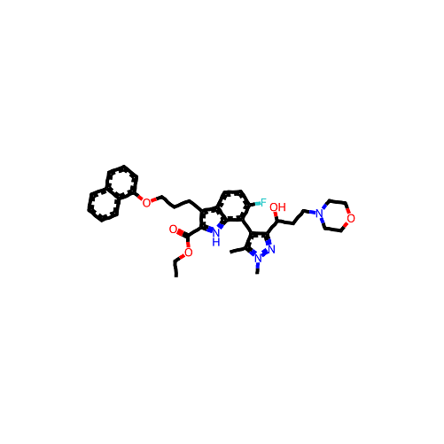 CCOC(=O)c1[nH]c2c(-c3c(C(O)CCN4CCOCC4)nn(C)c3C)c(F)ccc2c1CCCOc1cccc2ccccc12